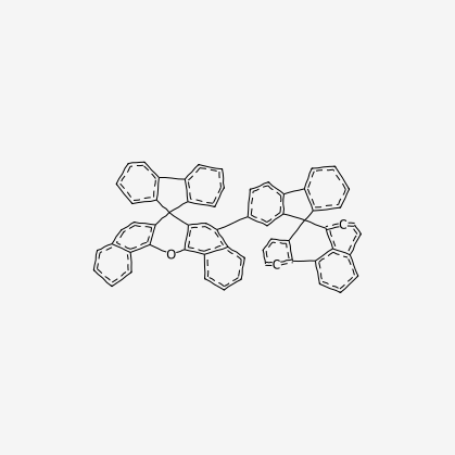 c1ccc2c(c1)-c1ccccc1C21c2ccc3ccccc3c2Oc2c1cc(-c1ccc3c(c1)C1(c4ccccc4-3)c3ccccc3-c3cccc4cccc1c34)c1ccccc21